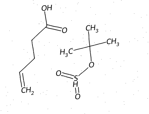 C=CCCC(=O)O.CC(C)(C)O[SH](=O)=O